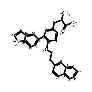 CC(Cc1ccc(OCCc2ccc3ccccc3c2)c(-c2ccc3[nH]ccc3c2)c1)C(=O)O